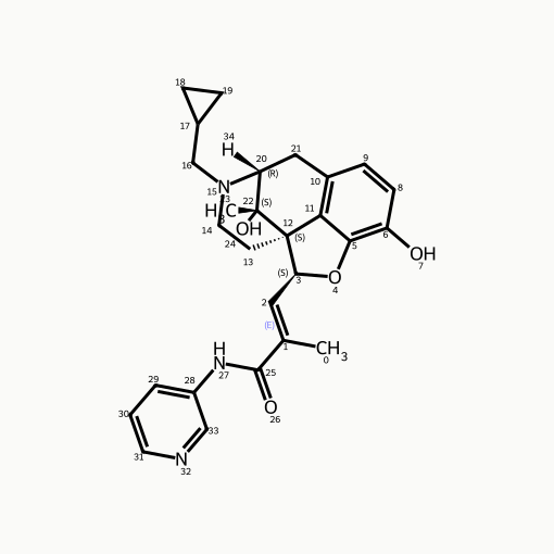 C/C(=C\[C@@H]1Oc2c(O)ccc3c2[C@@]12CCN(CC1CC1)[C@H](C3)[C@@]2(C)O)C(=O)Nc1cccnc1